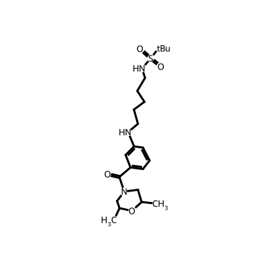 CC1CN(C(=O)c2cccc(NCCCCCNS(=O)(=O)C(C)(C)C)c2)CC(C)O1